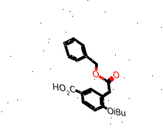 CC(C)COc1ccc(C(=O)O)cc1CC(=O)OCc1ccccc1